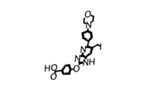 O=C(O)c1ccc(Oc2nc3nc(-c4ccc(N5CCOCC5)cc4)c(CI)cc3[nH]2)cc1